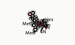 CCCCCCN(O[C@@H]1[C@H](OP(OCCC#N)N(C(C)C)C(C)C)[C@@H](COC(c2ccccc2)(c2ccc(OC)cc2)c2ccc(OC)cc2)O[C@H]1n1cnc2c(N(C(=O)c3ccccc3)C(=O)c3ccccc3)ncnc21)N1C(=O)c2ccccc2C1=O